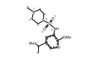 COc1ncc(C(C)SC)cc1NS(=O)(=O)N1CCN(C)CC1